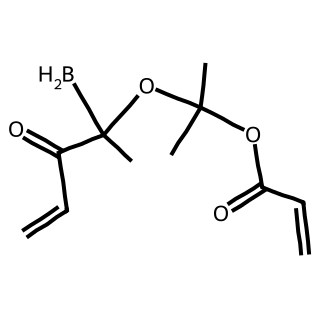 BC(C)(OC(C)(C)OC(=O)C=C)C(=O)C=C